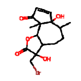 CC1CCC2C(OC(=O)C2(O)CBr)C2(C)C(=O)C=CC12O